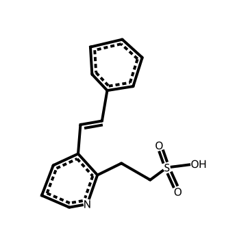 O=S(=O)(O)CCc1ncccc1C=Cc1ccccc1